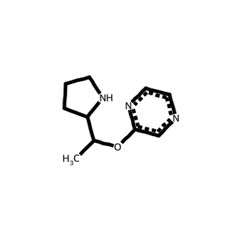 CC(Oc1cnccn1)C1CCCN1